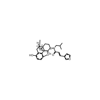 CC(C)CN(C(=O)C=Cc1ccoc1)[C@@H]1CC[C@H]2[C@H]3Cc4c(O)ccc5c4[C@@]2(CCN3C)[C@@H]1O5